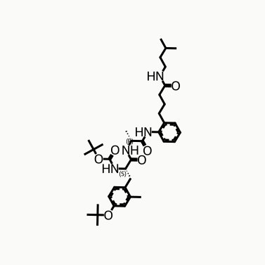 Cc1cc(OC(C)(C)C)ccc1C[C@H](NC(=O)OC(C)(C)C)C(=O)N[C@H](C)C(=O)Nc1ccccc1CCCC(=O)NCCC(C)C